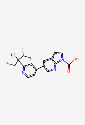 CC(CF)(c1cc(-c2cnc3c(ccn3C(=O)O)c2)ccn1)C(F)F